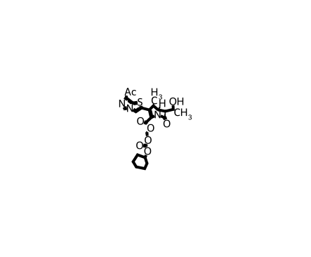 CC(=O)c1ncn2cc(C3=C(C(=O)OCOC(=O)OC4CCCCC4)N4C(=O)[C@H]([C@@H](C)O)[C@H]4[C@H]3C)sc12